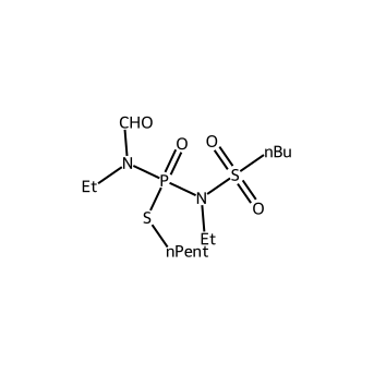 CCCCCSP(=O)(N(C=O)CC)N(CC)S(=O)(=O)CCCC